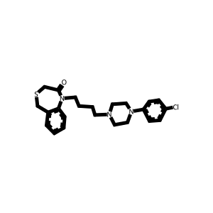 O=C1CSCc2ccccc2N1CCCCN1CCN(c2ccc(Cl)cc2)CC1